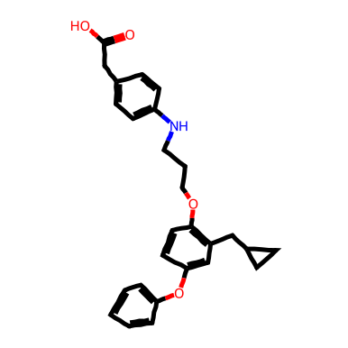 O=C(O)Cc1ccc(NCCCOc2ccc(Oc3ccccc3)cc2CC2CC2)cc1